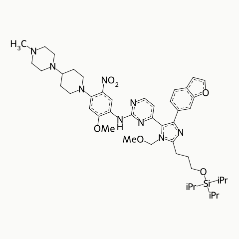 COCn1c(CCCO[Si](C(C)C)(C(C)C)C(C)C)nc(-c2ccc3ccoc3c2)c1-c1ccnc(Nc2cc([N+](=O)[O-])c(N3CCC(N4CCN(C)CC4)CC3)cc2OC)n1